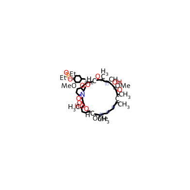 CCP(=O)(CC)O[C@@H]1CCC(C[C@H]2C3CCCN4C(=O)C(=O)C5(O)O[C@@H](CCC5C)C[C@H](OC)/C(C)=C/C=C/C=C/[C@@H](C)CC(C)C(=O)[C@H](OC)C(O)/C(C)=C/[C@@H](C)C(=O)C[C@@H]2OC(=O)C34)CC1OC